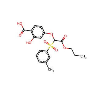 CCCOC(=O)C(Oc1ccc(C(=O)O)c(O)c1)S(=O)(=O)c1cccc(C)c1